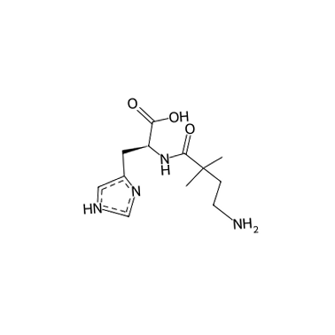 CC(C)(CCN)C(=O)N[C@@H](Cc1c[nH]cn1)C(=O)O